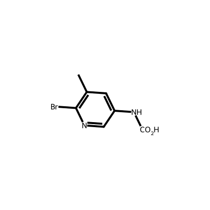 Cc1cc(NC(=O)O)cnc1Br